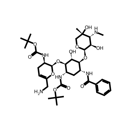 CN[C@@H]1[C@@H](O)[C@@H](O[C@@H]2[C@@H](O)[C@H](O[C@H]3OC(CN)=CC[C@H]3NC(=O)OC(C)(C)C)[C@@H](NC(=O)OC(C)(C)C)C[C@H]2NC(=O)c2ccccc2)OC[C@]1(C)O